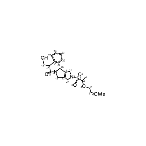 COCCOC(C)S(=O)(=O)N1CC2=C(CN(C(=O)C(CO)c3ccccc3)C2)C1